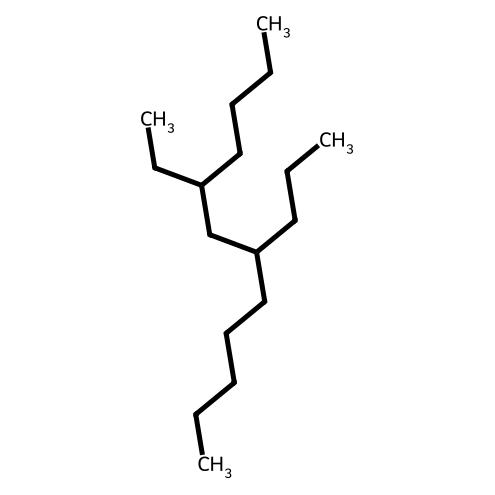 CCCCCC(CCC)CC(CC)CCCC